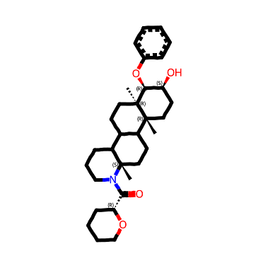 C[C@]12CCC3C(CC[C@@]4(C)[C@@H](Oc5ccccc5)[C@@H](O)CC[C@]34C)C1CCCN2C(=O)[C@H]1CCCCO1